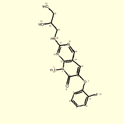 Cn1c(=O)c(Oc2ccccc2F)cc2cnc(NCC(O)CO)nc21